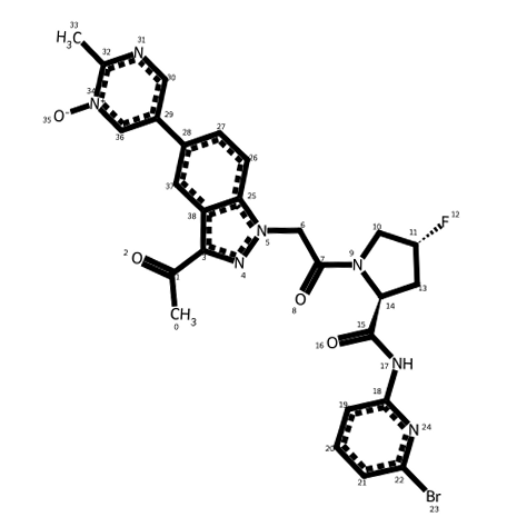 CC(=O)c1nn(CC(=O)N2C[C@H](F)C[C@H]2C(=O)Nc2cccc(Br)n2)c2ccc(-c3cnc(C)[n+]([O-])c3)cc12